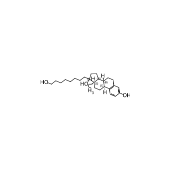 C[C@]12CC[C@@H]3c4ccc(O)cc4CC[C@H]3[C@@H]1CC[C@@]2(O)CCCCCCCCO